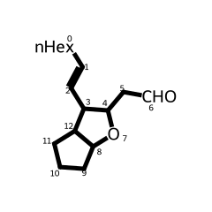 CCCCCCC=CC1C(CC=O)OC2CCCC21